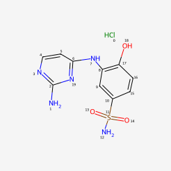 Cl.Nc1nccc(Nc2cc(S(N)(=O)=O)ccc2O)n1